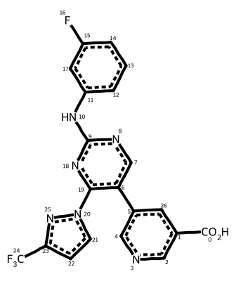 O=C(O)c1cncc(-c2cnc(Nc3cccc(F)c3)nc2-n2ccc(C(F)(F)F)n2)c1